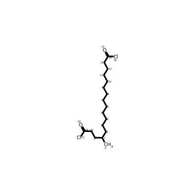 CC(CCCCCCCCCCCCC(=O)Cl)CCC(=O)Cl